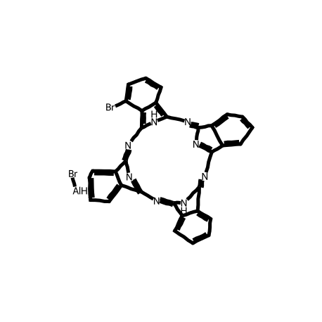 Brc1cccc2c3nc4nc(nc5[nH]c(nc6nc(nc([nH]3)c12)-c1ccccc1-6)c1ccccc51)-c1ccccc1-4.[AlH2][Br]